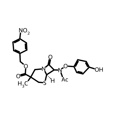 CC(=O)N(Oc1ccc(O)cc1)C1C(=O)N2CC(C)(C(=O)OCc3ccc([N+](=O)[O-])cc3)CS[C@H]12